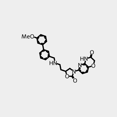 COc1cccc(-c2cccc(CNCCC3CN(c4ccc5c(n4)NC(=O)CO5)C(=O)O3)c2)c1